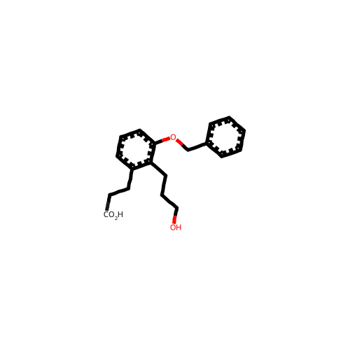 O=C(O)CCc1cccc(OCc2ccccc2)c1CCCO